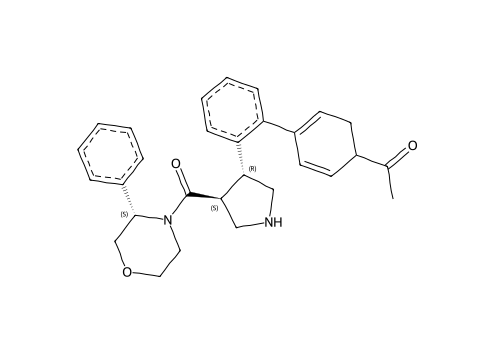 CC(=O)C1C=CC(c2ccccc2[C@@H]2CNC[C@H]2C(=O)N2CCOC[C@@H]2c2ccccc2)=CC1